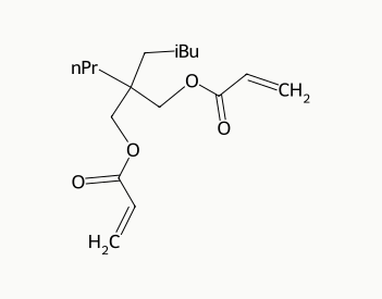 C=CC(=O)OCC(CCC)(COC(=O)C=C)CC(C)CC